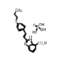 CC(=O)OCCOc1ccc(C=Cc2nc3cccc(C(=O)O)c3[nH]2)cc1.O=P(O)(O)O